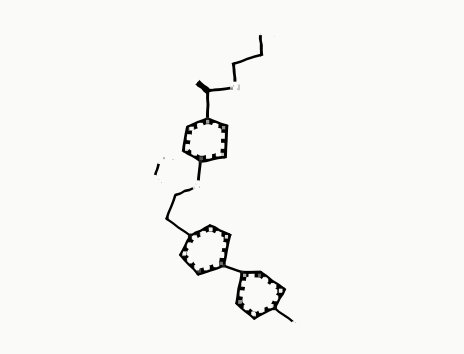 CC(C)COC[C@@H](Cc1ccc(-c2ccc(C(C)(C)C)cc2)cc1)Nc1ccc(C(=O)NCCC(=O)O)cc1